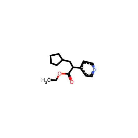 CCOC(=O)C(CC1CCCC1)c1ccncc1